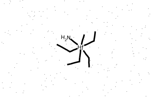 C[CH2][Hf]([CH3])([NH2])([CH2]C)([CH2]C)[CH2]C